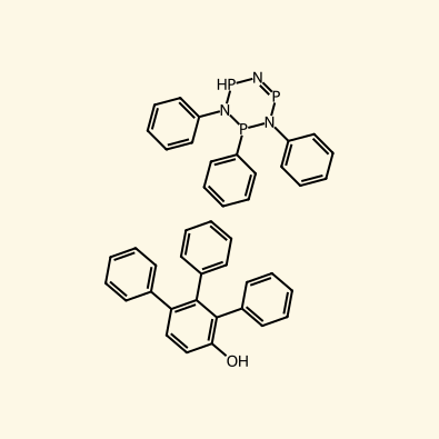 Oc1ccc(-c2ccccc2)c(-c2ccccc2)c1-c1ccccc1.c1ccc(-n2pn[pH]n(-c3ccccc3)p2-c2ccccc2)cc1